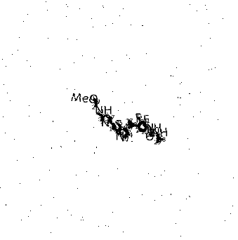 COCCNCc1ccc(-c2cc3nccc([C@H]4C[C@H]4c4ccc(NC(=O)NC5CC5)c(F)c4F)c3s2)nc1